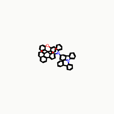 c1ccc(-c2ccccc2-n2c3ccccc3c3cc(N(c4ccccc4)c4ccc5c(c4)C4(c6ccccc6Oc6ccccc64)c4cccc6cccc-5c46)ccc32)cc1